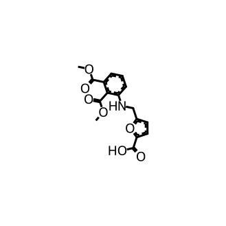 COC(=O)c1cccc(NCc2ccc(C(=O)O)o2)c1C(=O)OC